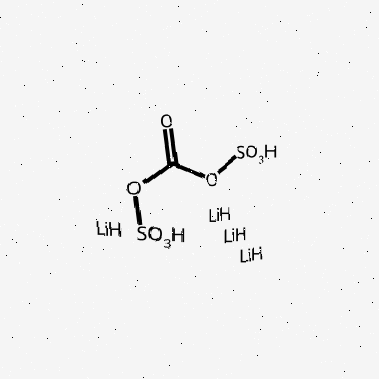 O=C(OS(=O)(=O)O)OS(=O)(=O)O.[LiH].[LiH].[LiH].[LiH]